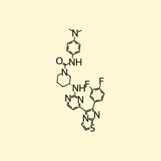 CN(C)c1ccc(NC(=O)N2CCC[C@@H](Nc3nccc(-c4c(-c5ccc(F)c(F)c5)nc5sccn45)n3)C2)cc1